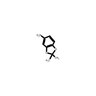 CC1(C)Oc2ccc([N+](=O)[O-])cc2O1